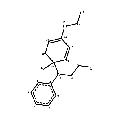 CCCN(c1ccccc1)C1(C)C=CC(OCC)=CC1